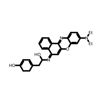 CCN(CC)c1ccc2nc3c4ccccc4/c(=N\C(O)CC4=CC=C(O)CC4)cc-3oc2c1